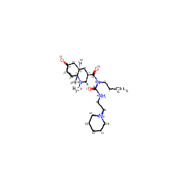 CCCN(C(=O)NCCN1CCCCC1)C(=O)[C@@H]1C[C@@H]2CC(=O)CC[C@H]2N(C)C1